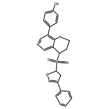 N#Cc1ccc(-c2cncc3c2OCCN3S(=O)(=O)C2CC(c3ccccc3)=NO2)cc1